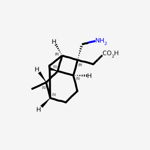 C[C@H]1[C@H]2CC[C@@H]3[C@](CN)(CC(=O)O)[C@H](C2)[C@]31C